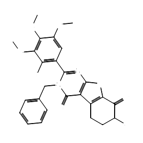 COc1cc(-c2nc3sc4c(c3c(=O)n2Cc2ccccc2)CCC(Cl)C4=O)c(Cl)c(OC)c1OC